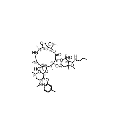 CCCNC[C@]1(O)[C@H](C)O[C@@H](O[C@H]2[C@H](C)[C@@H](O[C@@H]3O[C@H](C)C[C@H](NC)[C@H]3Oc3cccc(C)c3)[C@](C)(O)C[C@@H](C)CN[C@H](C)[C@@H](O)[C@](C)(O)[C@@H](CC)OC(=O)[C@@H]2C)C[C@@]1(C)OC